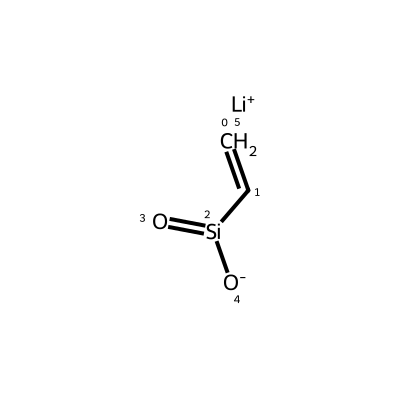 C=C[Si](=O)[O-].[Li+]